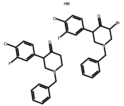 Br.O=C1C(Br)CN(Cc2ccccc2)CC1c1ccc(Cl)c(F)c1.O=C1CCN(Cc2ccccc2)CC1c1ccc(Cl)c(F)c1